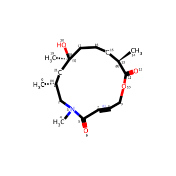 C[C@H]1CN(C)C(=O)/C=C/COC(=O)[C@H](C)CCC[C@](C)(O)C1